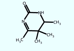 CC1=NC(=O)NC(C)C1(C)C